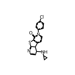 O=c1c2c(ccn1-c1ccc(Cl)cc1)C1C(=NC=CC1NC1CC1)S2